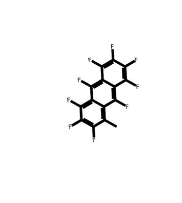 Cc1c(F)c(F)c(F)c2c(F)c3c(F)c(F)c(F)c(F)c3c(F)c12